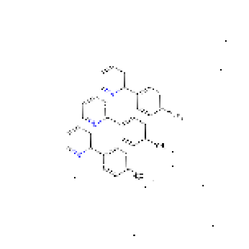 Cc1ccc(-c2ccccn2)cc1.Cc1ccc(-c2ccccn2)cc1.Cc1ccc(-c2ccccn2)cc1.[Ir+3]